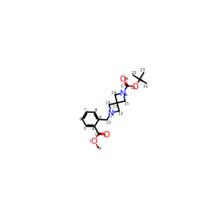 COC(=O)c1ccccc1CN1CC2(C1)CN(C(=O)OC(C)(C)C)C2